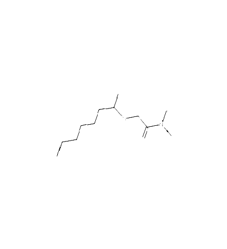 CCCCCCC(C)NCC(=O)N(C)C